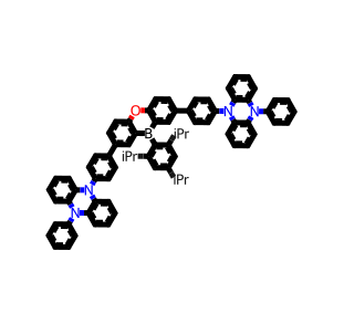 CC(C)c1cc(C(C)C)c(B2c3cc(-c4ccc(N5c6ccccc6N(c6ccccc6)c6ccccc65)cc4)ccc3Oc3ccc(-c4ccc(N5c6ccccc6N(c6ccccc6)c6ccccc65)cc4)cc32)c(C(C)C)c1